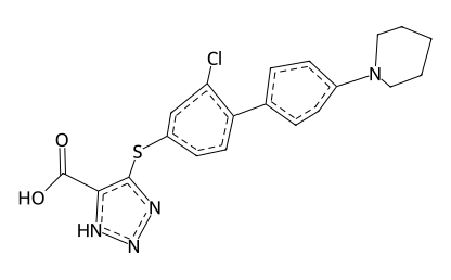 O=C(O)c1[nH]nnc1Sc1ccc(-c2ccc(N3CCCCC3)cc2)c(Cl)c1